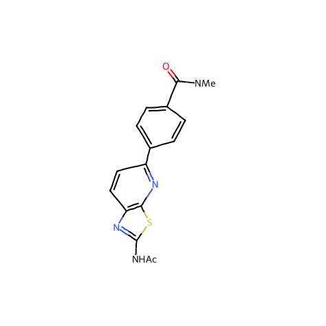 CNC(=O)c1ccc(-c2ccc3nc(NC(C)=O)sc3n2)cc1